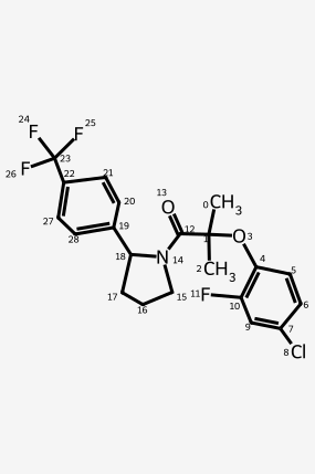 CC(C)(Oc1ccc(Cl)cc1F)C(=O)N1CCCC1c1ccc(C(F)(F)F)cc1